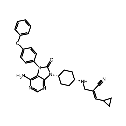 N#C/C(=C\C1CC1)CN[C@H]1CC[C@@H](n2c(=O)n(-c3ccc(Oc4ccccc4)cc3)c3c(N)ncnc32)CC1